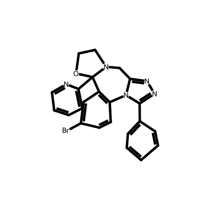 Brc1ccc2c(c1)C1(c3ccccn3)OCCN1Cc1nnc(-c3ccccc3)n1-2